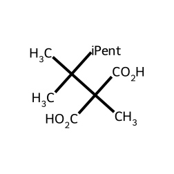 CCCC(C)C(C)(C)C(C)(C(=O)O)C(=O)O